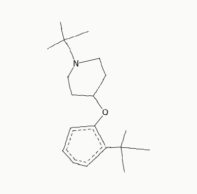 CC(C)(C)c1ccccc1OC1CCN(C(C)(C)C)CC1